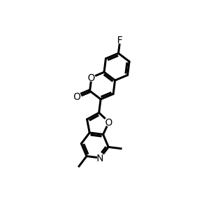 Cc1cc2cc(-c3cc4ccc(F)cc4oc3=O)oc2c(C)n1